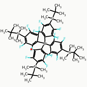 CC(C)(C)[Si](C)(C)c1c(F)c(F)c([B-](c2c(F)c(F)c([Si](C)(C)C(C)(C)C)c(F)c2F)(c2c(F)c(F)c([Si](C)(C)C(C)(C)C)c(F)c2F)c2c(F)c(F)c([Si](C)(C)C(C)(C)C)c(F)c2F)c(F)c1F